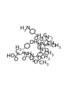 C=C(C)[C@@H](C[C@@H](OC(C)=O)c1nc(C(=O)N[C@@H](Cc2ccc(O)cc2)C[C@H](C)C(=O)O)cs1)N(OCCCOCc1ccc(N)cc1)C(=O)[C@@H](NC(=O)[C@H]1CCCCN1C)[C@@H](C)CC